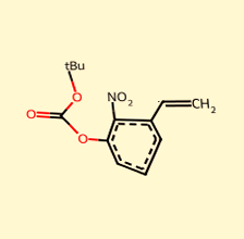 C=[C]c1cccc(OC(=O)OC(C)(C)C)c1[N+](=O)[O-]